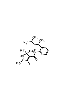 CC(C)CC(C)c1ccccc1NC(=O)C1=C(F)N(C)NC1(C)C